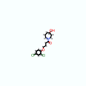 O=C(CCCOc1ccc(Cl)cc1Cl)N1CCCC(O)CC1